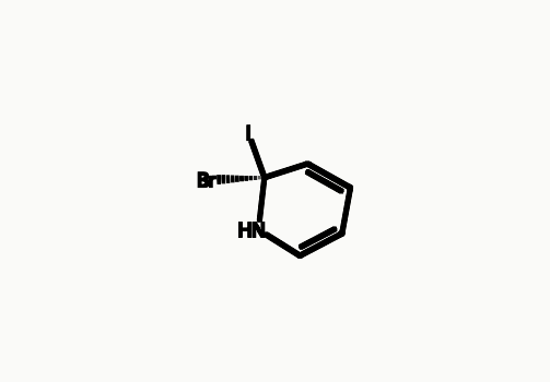 Br[C@]1(I)C=CC=CN1